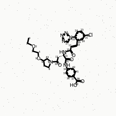 CCOCCOC1CCN(C(=O)C[C@H](NC(=O)C=Cc2cc(Cl)ccc2-n2cnnn2)C(=O)Nc2ccc(C(=O)O)cc2)C1